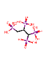 O=P(O)(O)CC(C(P(=O)(O)O)P(=O)(O)O)P(=O)(O)O